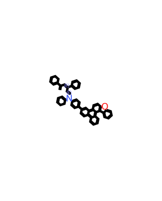 C=C(/C=C(\C=C\N(C1=CC=CCC1)c1ccc(-c2ccc3c4ccccc4c4c(ccc5oc6ccccc6c54)c3c2)cc1)c1ccccc1)C1=CC=CCC1